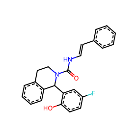 O=C(NC=Cc1ccccc1)N1CCc2ccccc2C1c1cc(F)ccc1O